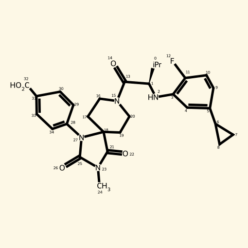 CC(C)[C@@H](Nc1cc(C2CC2)ccc1F)C(=O)N1CCC2(CC1)C(=O)N(C)C(=O)N2c1ccc(C(=O)O)cc1